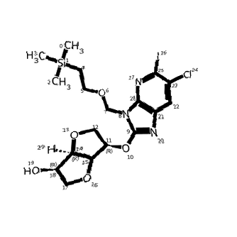 C[Si](C)(C)CCOCn1c(O[C@@H]2CO[C@H]3C2OC[C@H]3O)nc2cc(Cl)c(I)nc21